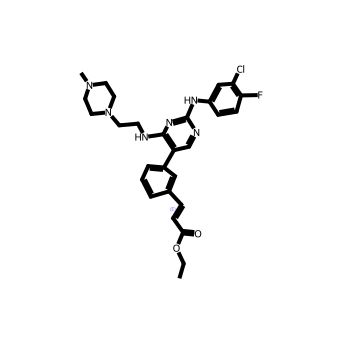 CCOC(=O)/C=C/c1cccc(-c2cnc(Nc3ccc(F)c(Cl)c3)nc2NCCN2CCN(C)CC2)c1